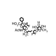 CC(=O)NC1C(O[C@@H](CC2CCCCC2)C(=O)O)[C@@H](O)[C@H](C(F)F)O[C@H]1O[C@@H](C)CCC[C@H](COC1O[C@@H](C)C(O)[C@H](O)[C@@H]1O)C(F)F